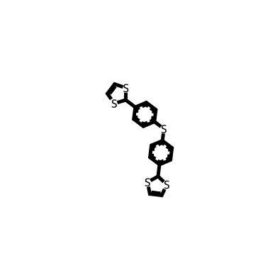 C1=CSC(c2ccc(Sc3ccc(C4SC=CS4)cc3)cc2)S1